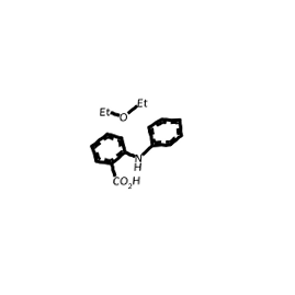 CCOCC.O=C(O)c1ccccc1Nc1ccccc1